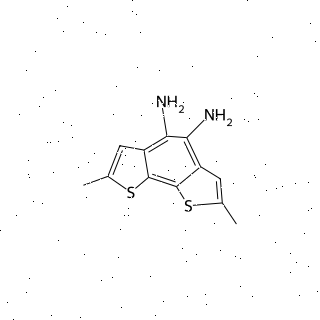 Cc1cc2c(N)c(N)c3cc(C)sc3c2s1